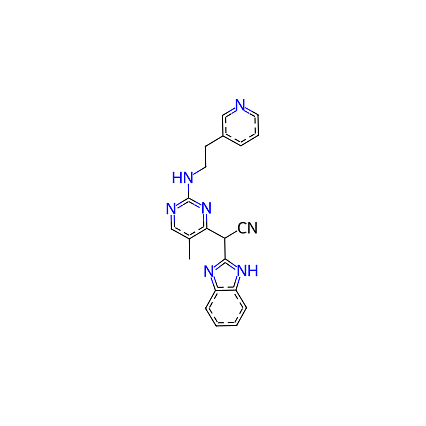 Cc1cnc(NCCc2cccnc2)nc1C(C#N)c1nc2ccccc2[nH]1